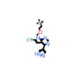 C[Si](C)(C)CCOCn1c(Cl)cc2c(-c3cn[nH]c3)ncnc21